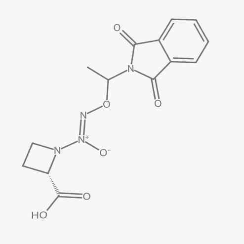 CC(O/N=[N+](\[O-])N1CC[C@H]1C(=O)O)N1C(=O)c2ccccc2C1=O